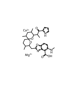 CNc1ccc2oc(CC3OC4(CCC3C)OC(C(C)C(=O)c3ccc[nH]3)C(C)CC4C)nc2c1C(=O)O.[Ca+2].[Mg+2]